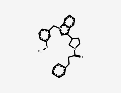 COc1cccc(Cn2cc(C3CCN(C(=O)CCc4ccccc4)C3)c3ccccc32)c1